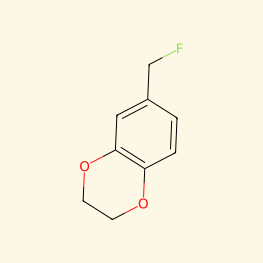 FCc1ccc2c(c1)OCCO2